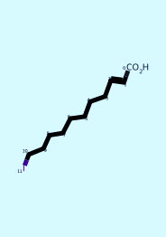 O=C(O)C=CCCCCCCCCI